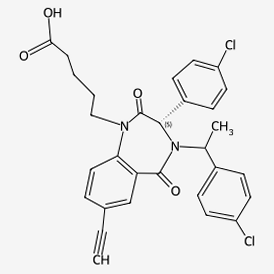 C#Cc1ccc2c(c1)C(=O)N(C(C)c1ccc(Cl)cc1)[C@@H](c1ccc(Cl)cc1)C(=O)N2CCCCC(=O)O